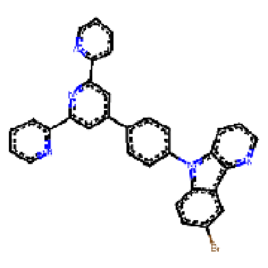 Brc1ccc2c(c1)c1ncccc1n2-c1ccc(-c2cc(-c3ccccn3)nc(-c3ccccn3)c2)cc1